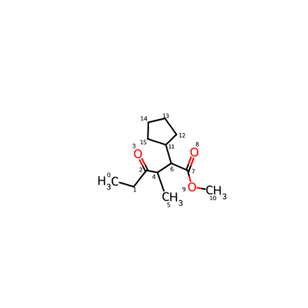 CCC(=O)C(C)C(C(=O)OC)C1CCCC1